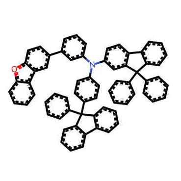 c1ccc(C2(c3ccc(N(c4cccc(-c5ccc6oc7ccccc7c6c5)c4)c4ccc5c(c4)C(c4ccccc4)(c4ccccc4)c4ccccc4-5)cc3)c3ccccc3-c3ccccc32)cc1